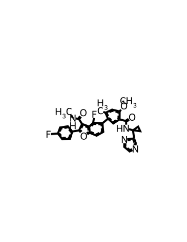 CNC(=O)c1c(-c2ccc(F)cc2)oc2ccc(-c3cc(C(=O)NC4(c5cnccn5)CC4)c(OC)cc3C)c(F)c12